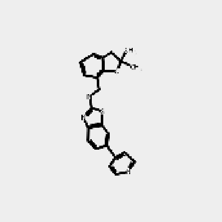 CC1(C)Cc2cccc(CNc3nc4ccc(-c5ccncc5)cc4s3)c2O1